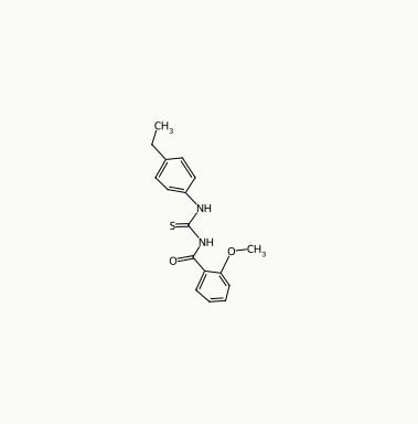 CCc1ccc(NC(=S)NC(=O)c2ccccc2OC)cc1